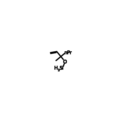 C=CC(C)(CCC)O[SiH3]